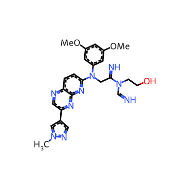 COc1cc(OC)cc(N(CC(=N)N(C=N)CCO)c2ccc3ncc(-c4cnn(C)c4)nc3n2)c1